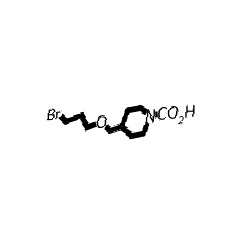 O=C(O)N1CCC(COCCCBr)CC1